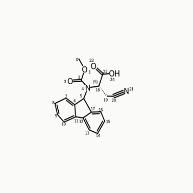 COC(=O)N(C1c2ccccc2-c2ccccc21)[C@@H](CC#N)C(=O)O